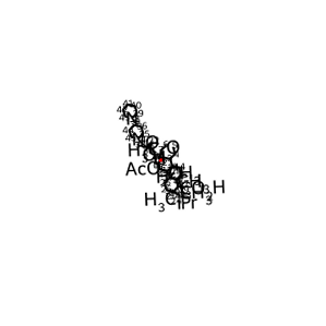 CC(=O)O[C@@H]1C[C@@]23COC[C@](C)([C@@H]2CC[C@H]2C3=CC[C@@]3(C)[C@H](C(=O)O)[C@@](C)([C@H](C)C(C)C)CC[C@]23C)[C@H]1OC(=O)CN1CCC(N2CCCCC2)CC1